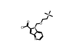 C[Si](C)(C)CCOCn1c(C(=O)Cl)cc2ncccc21